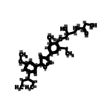 CCc1cc(-c2noc(-c3cc(OC)cc(C(CC)CC)n3)n2)cc(C)c1OCC(O)CNC(=O)CO